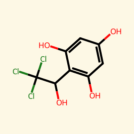 Oc1cc(O)c(C(O)C(Cl)(Cl)Cl)c(O)c1